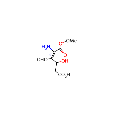 COOC(=O)/C(N)=C(/C=O)C(O)CC(=O)O